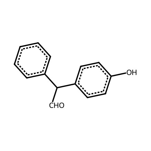 O=CC(c1ccccc1)c1ccc(O)cc1